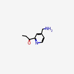 CCC(=O)c1cc(CN)ccn1